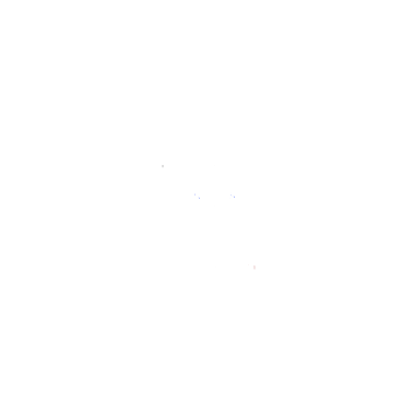 O=C(O)c1nc(-c2cccc(Br)c2)nc2c1CCC2